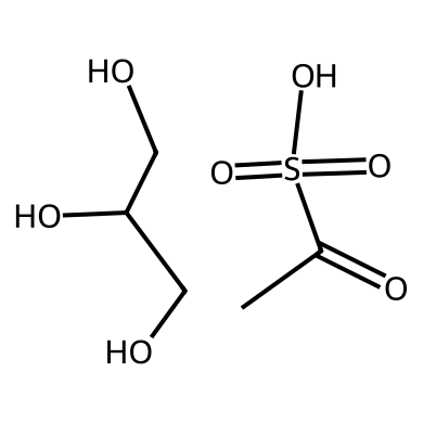 CC(=O)S(=O)(=O)O.OCC(O)CO